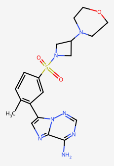 Cc1ccc(S(=O)(=O)N2CC(N3CCOCC3)C2)cc1-c1cnc2c(N)ncnn12